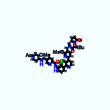 COc1cc(C(=O)Nc2cccc(-c3nccc(-c4ccc(CN(C[C@@H]5CCC(=O)N5)C(=O)OC(C)(C)C)c(OC)n4)c3Cl)c2Cl)ncc1CNC1CCN(C(C)=O)CC1